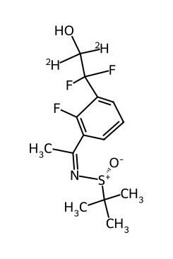 [2H]C([2H])(O)C(F)(F)c1cccc(/C(C)=N\[S@+]([O-])C(C)(C)C)c1F